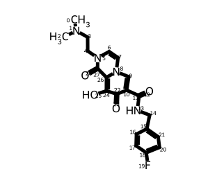 CN(C)CCn1ccn2cc(C(=O)NCc3ccc(F)cc3)c(=O)c(O)c2c1=O